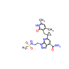 Cc1cc(C)c(CC2(c3cc(C(N)=O)c4cnn(CCNS(C)(=O)=O)c4n3)CC2)c(=O)[nH]1